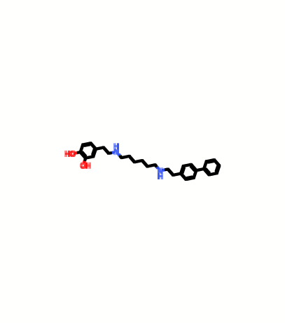 Oc1ccc(CCNCCCCCCNCCc2ccc(-c3ccccc3)cc2)cc1O